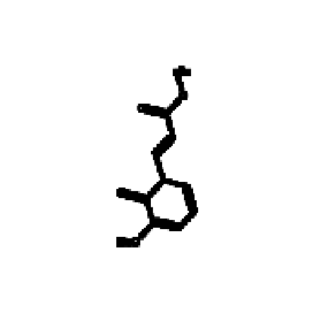 CCCCOC(=O)/C=C/C1C=CC=C(OC)C1=O